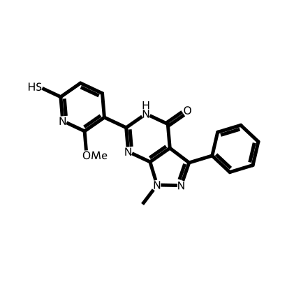 COc1nc(S)ccc1-c1nc2c(c(-c3ccccc3)nn2C)c(=O)[nH]1